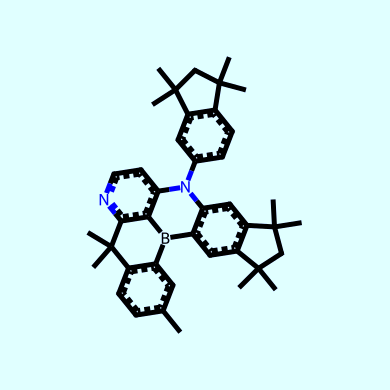 Cc1ccc2c(c1)B1c3cc4c(cc3N(c3ccc5c(c3)C(C)(C)CC5(C)C)c3ccnc(c31)C2(C)C)C(C)(C)CC4(C)C